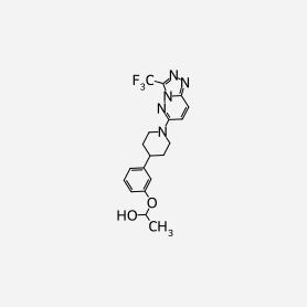 CC(O)Oc1cccc(C2CCN(c3ccc4nnc(C(F)(F)F)n4n3)CC2)c1